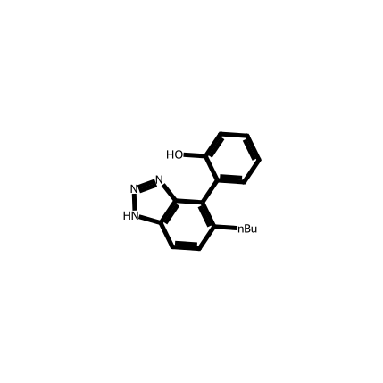 CCCCc1ccc2[nH]nnc2c1-c1ccccc1O